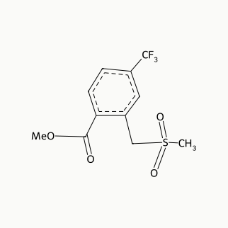 COC(=O)c1ccc(C(F)(F)F)cc1CS(C)(=O)=O